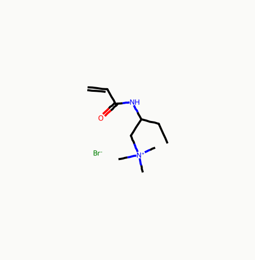 C=CC(=O)NC(CC)C[N+](C)(C)C.[Br-]